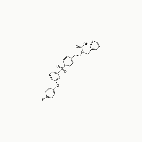 O=C(O)N(CCc1ccc(S(=O)(=O)c2cccc(Oc3ccc(F)cc3)c2)cc1)Cc1ccccc1